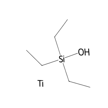 CC[Si](O)(CC)CC.[Ti]